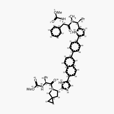 COC(=O)N[C@H](C(=O)N(C)[C@H](c1ncc(-c2ccc(-c3ccc4cc(-c5cnc([C@@H]6CC7(CC7)CN6C(=O)[C@@H](NC(=O)OC)C(C)C)[nH]5)ccc4c3)cc2)[nH]1)C(C)C)c1ccccc1